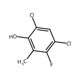 Cc1c(O)c(Cl)cc(Cl)c1F